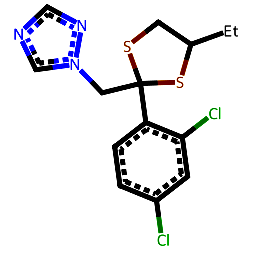 CCC1CSC(Cn2cncn2)(c2ccc(Cl)cc2Cl)S1